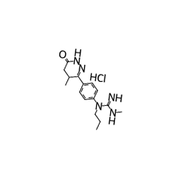 CCCN(C(=N)NC)c1ccc(C2=NNC(=O)CC2C)cc1.Cl